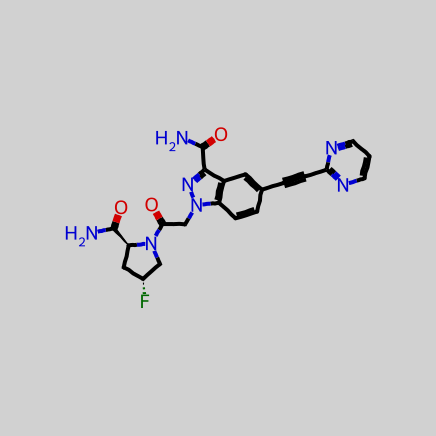 NC(=O)c1nn(CC(=O)N2C[C@H](F)C[C@H]2C(N)=O)c2ccc(C#Cc3ncccn3)cc12